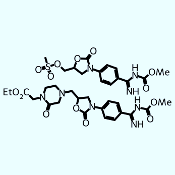 CCOC(=O)CN1CCN(CC2CN(c3ccc(C(=N)NC(=O)OC)cc3)C(=O)O2)CC1=O.COC(=O)NC(=N)c1ccc(N2CC(COS(C)(=O)=O)OC2=O)cc1